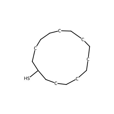 SC1CCCCCCCCCCCCCC1